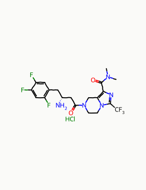 CN(C)C(=O)c1nc(C(F)(F)F)n2c1CN(C(=O)C[C@H](N)Cc1cc(F)c(F)cc1F)CC2.Cl